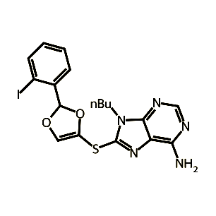 CCCCn1c(SC2=COC(c3ccccc3I)O2)nc2c(N)ncnc21